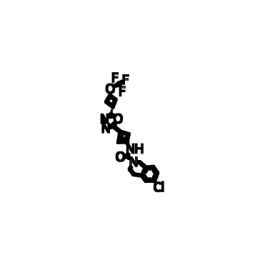 O=C(NC12CC(c3nnc([C@H]4C[C@@H](OC(F)(F)F)C4)o3)(C1)C2)N1CCc2cc(Cl)ccc2C1